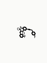 CN1C(=O)/C(=C/c2cccc(F)c2)C(=O)c2cc(C#CCc3ccc(F)cc3)ccc21